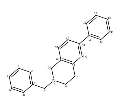 c1ccc(CN2CCc3nc(-c4ccccc4)ccc3C2)cc1